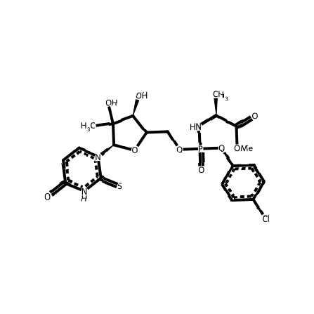 COC(=O)[C@H](C)NP(=O)(OCC1O[C@@H](n2ccc(=O)[nH]c2=S)C(C)(O)[C@H]1O)Oc1ccc(Cl)cc1